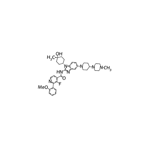 COc1ccccc1-c1nccc(C(=O)Nc2nc3cc(N4CCC(N5CCN(C)CC5)CC4)ccc3n2[C@H]2CC[C@@](C)(O)CC2)c1F